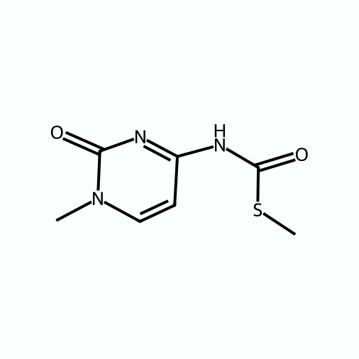 CSC(=O)Nc1ccn(C)c(=O)n1